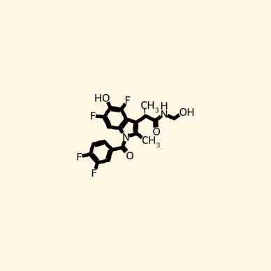 Cc1c([C@H](C)C(=O)NCO)c2c(F)c(O)c(F)cc2n1C(=O)c1ccc(F)c(F)c1